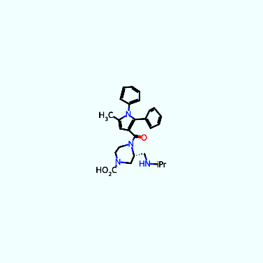 Cc1cc(C(=O)N2CCN(C(=O)O)C[C@H]2CNC(C)C)c(-c2ccccc2)n1-c1ccccc1